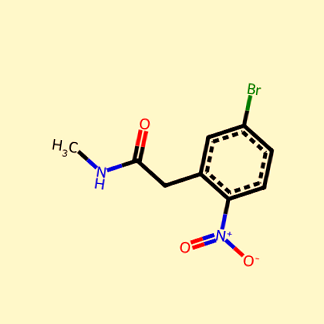 CNC(=O)Cc1cc(Br)ccc1[N+](=O)[O-]